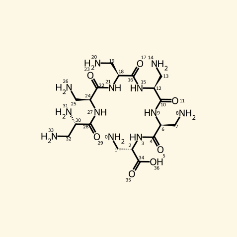 NC[C@H](NC(=O)[C@H](CN)NC(=O)[C@H](CN)NC(=O)[C@H](CN)NC(=O)[C@H](CN)NC(=O)[C@@H](N)CN)C(=O)O